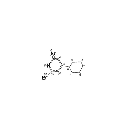 CC(=O)c1cc(C2CCCCC2)cc(Br)n1